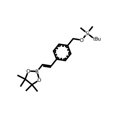 CC1(C)OB(/C=C/c2ccc(CO[Si](C)(C)C(C)(C)C)cc2)OC1(C)C